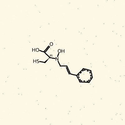 O=C(O)[C@H](CS)N(O)CC=Cc1ccccc1